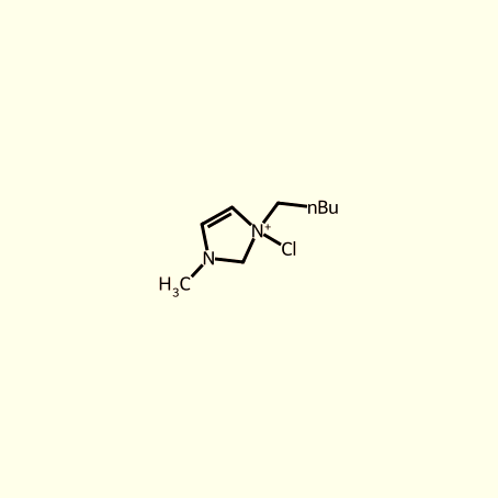 CCCCC[N+]1(Cl)C=CN(C)C1